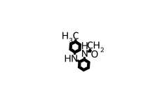 [CH2]C(=O)Nc1ccccc1Nc1ccc(C)cc1